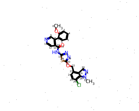 COc1ccccc1-c1cnccc1C(=O)Nc1nnc(OCc2ccc(Cl)c3c2cnn3C)s1